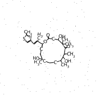 C/C(=C\c1csc(C)n1)C1CCC(C)(O)CCCC(C)C(O)C(C)C(=O)C(C)(C)C(O)CC(=O)O1